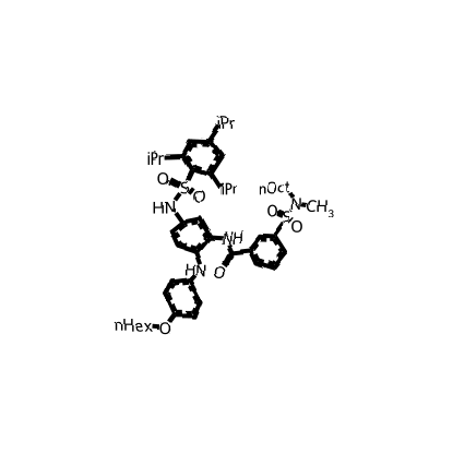 CCCCCCCCN(C)S(=O)(=O)c1cccc(C(=O)Nc2cc(NS(=O)(=O)c3c(C(C)C)cc(C(C)C)cc3C(C)C)ccc2Nc2ccc(OCCCCCC)cc2)c1